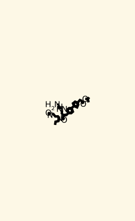 CCCN(CCCN=O)C(=O)C1=Cc2ccc(-c3ccc(CC(=O)OC(C)C)cc3)cc2N=C(N=NN)C1